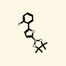 CC1(C)OB(c2ccc(-c3ccccc3F)o2)OC1(C)C